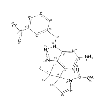 CC(C)(C)C1(c2nc(N)nc3c2nnn3Cc2cccc([N+](=O)[O-])c2)CC=CN1C(=O)O